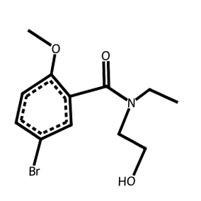 CCN(CCO)C(=O)c1cc(Br)ccc1OC